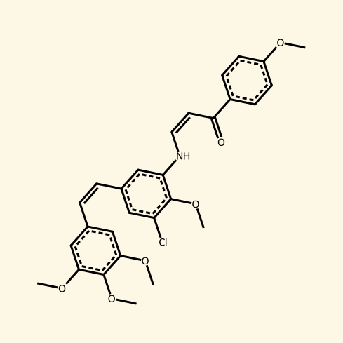 COc1ccc(C(=O)/C=C\Nc2cc(/C=C\c3cc(OC)c(OC)c(OC)c3)cc(Cl)c2OC)cc1